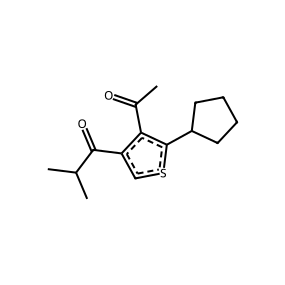 CC(=O)c1c(C(=O)C(C)C)csc1C1CCCC1